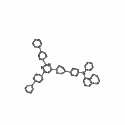 c1ccc(-c2ccc(-c3cc(-c4ccc(-c5ccc(N(c6ccccc6)c6cccc7ccccc67)cc5)cc4)nc(-c4ccc(-c5ccccc5)cc4)n3)cc2)cc1